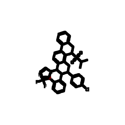 CC(C)S(=O)(=O)C1Cc2ccccc2-c2ccc3c(c21)CC(c1ccc(Cl)cc1)C(c1ccccc1OC(F)(F)F)C3n1cccc1